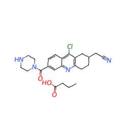 CCCC(=O)O.N#CCC1CCc2nc3cc(C(=O)N4CCNCC4)ccc3c(Cl)c2C1